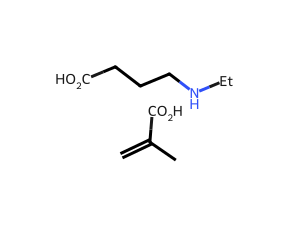 C=C(C)C(=O)O.CCNCCCC(=O)O